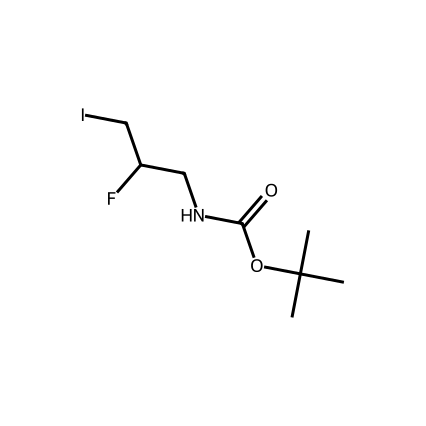 CC(C)(C)OC(=O)NCC(F)CI